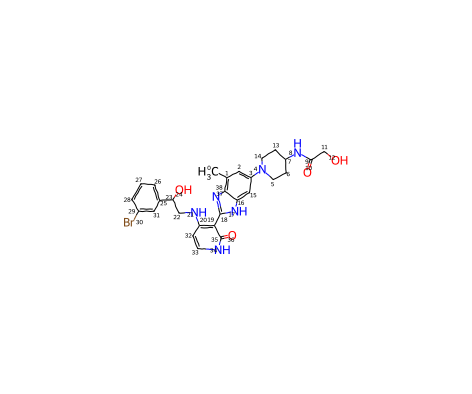 Cc1cc(N2CCC(NC(=O)CO)CC2)cc2[nH]c(-c3c(NCC(O)c4cccc(Br)c4)cc[nH]c3=O)nc12